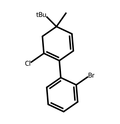 CC(C)(C)C1(C)C=CC(c2ccccc2Br)=C(Cl)C1